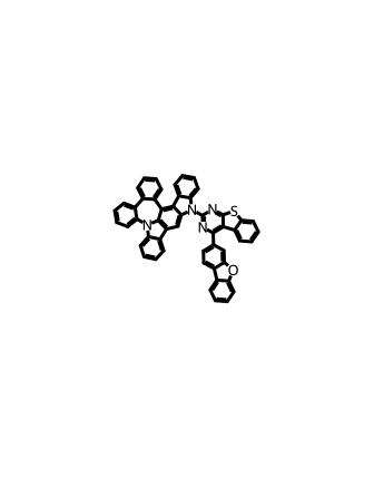 c1ccc2c(c1)-c1ccccc1-n1c3ccccc3c3cc4c(c-2c31)c1ccccc1n4-c1nc(-c2ccc3c(c2)oc2ccccc23)c2c(n1)sc1ccccc12